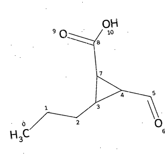 CCCC1C(C=O)C1C(=O)O